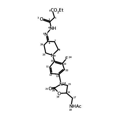 CCOC(=O)CC(=O)NN=C1CCN(c2ccc(N3CC(CNC(C)=O)OC3=O)cc2F)CC1